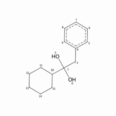 OC(O)([CH]c1ccccc1)C1CCCCC1